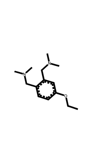 CCOc1ccc(CN(C)C)c(CN(C)C)c1